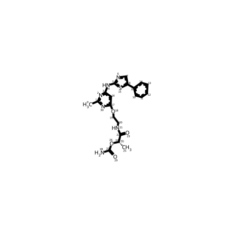 Cc1nc(Nc2ncc(-c3ccccc3)s2)cc(OCCNC(=O)[C@H](C)OC(N)=O)n1